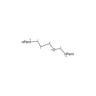 CCCCCCCCOCCCCCC